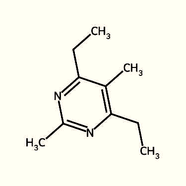 CCc1nc(C)nc(CC)c1C